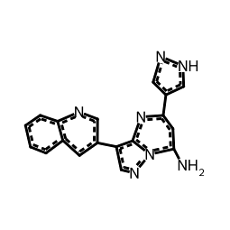 Nc1cc(-c2cn[nH]c2)nc2c(-c3cnc4ccccc4c3)cnn12